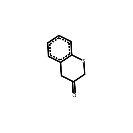 O=C1CSc2ccccc2C1